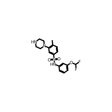 Cc1ccc(S(=O)(=O)Nc2cccc(OC(F)F)c2)cc1N1CCNCC1